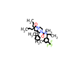 C=CCC1(CC=C)C[C@H]2[C@H](c3ccccc3C)N(C(=O)N(C)[C@H](C=C)c3cc(C)cc(C(F)(F)F)c3)CCN2C1=O